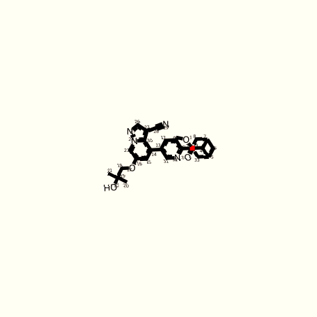 COC(=O)C1C2CC1CN(c1ccc(-c3cc(OCC(C)(C)O)cn4ncc(C#N)c34)cn1)C2